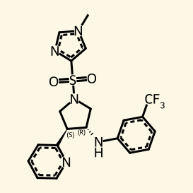 Cn1cnc(S(=O)(=O)N2C[C@H](Nc3cccc(C(F)(F)F)c3)[C@@H](c3ccccn3)C2)c1